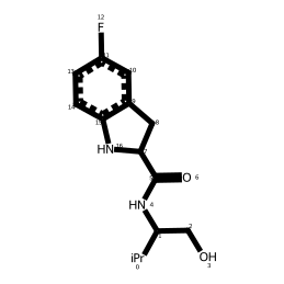 CC(C)C(CO)NC(=O)C1Cc2cc(F)ccc2N1